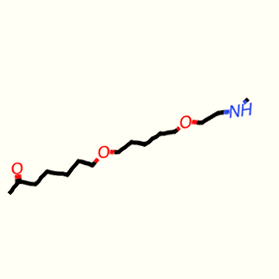 CNCCOCCCCCOCCCCCC(C)=O